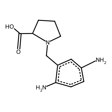 Nc1ccc(N)c(CN2CCCC2C(=O)O)c1